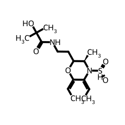 C/C=C1/OC(CCNC(=O)C(C)(C)O)[C@@H](C)N([SH](=O)=O)/C1=C/C